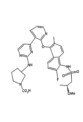 CO[C@@H](C)CS(=O)(=O)Nc1c(F)ccc2c(Oc3ncccc3-c3ccnc(NC4CCCN(C(=O)O)C4)n3)c(C)ccc12